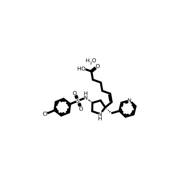 O.O=C(O)CCC/C=C\[C@]1(Cc2cccnc2)C[C@@H](NS(=O)(=O)c2ccc(Cl)cc2)CN1